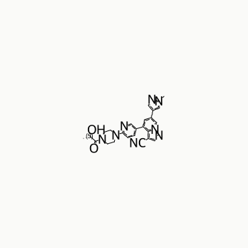 C[C@H](O)C(=O)N1CCN(c2ccc(-c3cc(-c4cnn(C)c4)cn4ncc(C#N)c34)cn2)CC1